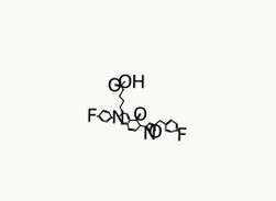 O=C(O)CCCCC1C=C2C(=O)C(c3cc(Cc4ccc(F)cc4)on3)C=CC2=CN1c1ccc(F)cc1